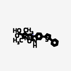 Cc1[nH]c(/C=C2\C(=O)Nc3cc(-c4ccc(-c5ccccc5)s4)ccc32)c(C)c1C(=O)O